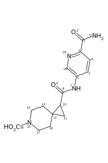 NC(=O)c1ccc(NC(=O)C2CC23CCN(C(=O)O)CC3)cn1